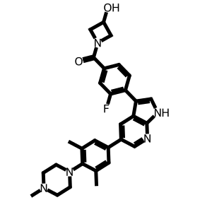 Cc1cc(-c2cnc3[nH]cc(-c4ccc(C(=O)N5CC(O)C5)cc4F)c3c2)cc(C)c1N1CCN(C)CC1